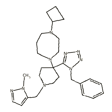 Cn1nccc1CN1CCC(c2nnnn2Cc2ccccc2)(N2CCCN(C3CCC3)CC2)CC1